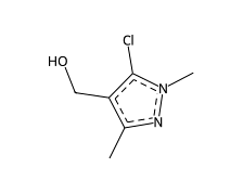 Cc1nn(C)c(Cl)c1CO